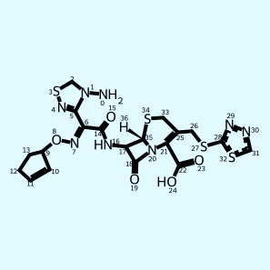 NN1CSN=C1C(=NOC1C=CCC1)C(=O)NC1C(=O)N2C(C(=O)O)=C(CSc3nncs3)CS[C@@H]12